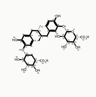 C[C@H](Cc1ccc(O)c(O[C@@H]2O[C@H](C(=O)O)[C@@H](O)[C@H](O)[C@H]2O)c1)[C@@H](C)Cc1ccc(O[C@@H]2C[C@H](C(=O)O)[C@@H](O)[C@H](O)[C@H]2O)c(O)c1